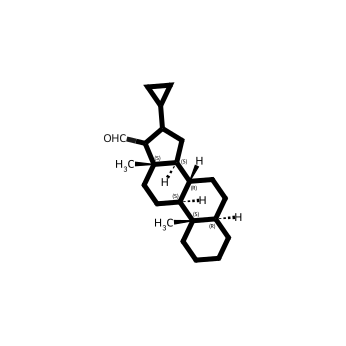 C[C@]12CCCC[C@@H]1CC[C@@H]1[C@@H]2CC[C@]2(C)C(C=O)C(C3CC3)C[C@@H]12